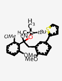 COc1ccc(-c2cccs2)cc1CC(C#N)(O[Si](C)(C)C(C)(C)C)c1c(OC)cccc1OC